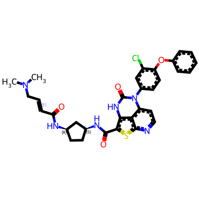 CN(C)C/C=C/C(=O)N[C@@H]1CC[C@H](NC(=O)c2sc3nccc4c3c2NC(=O)N4c2ccc(Oc3ccccc3)c(Cl)c2)C1